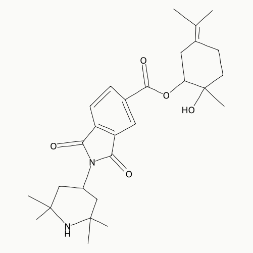 CC(C)=C1CCC(C)(O)C(OC(=O)c2ccc3c(c2)C(=O)N(C2CC(C)(C)NC(C)(C)C2)C3=O)C1